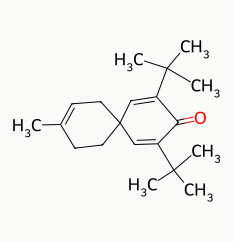 CC1=CCC2(C=C(C(C)(C)C)C(=O)C(C(C)(C)C)=C2)CC1